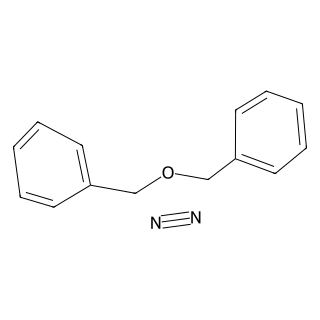 N#N.c1ccc(COCc2ccccc2)cc1